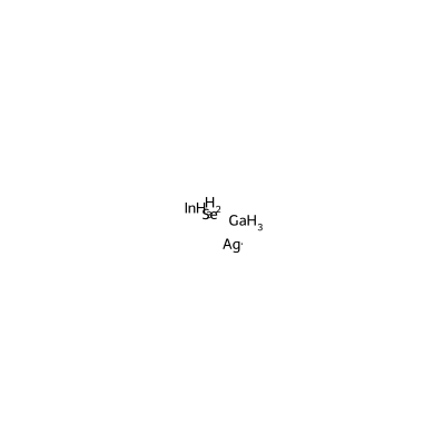 [Ag].[GaH3].[InH3].[SeH2]